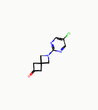 O=C1CC2(C1)CN(c1ncc(Cl)cn1)C2